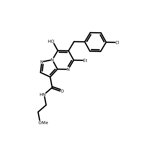 CCc1nc2c(C(=O)NCCOC)cnn2c(O)c1Cc1ccc(Cl)cc1